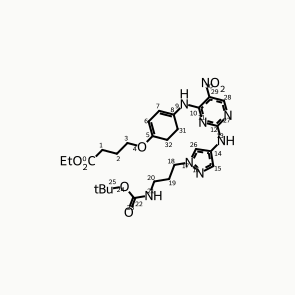 CCOC(=O)CCCOC1=CC=C(Nc2nc(Nc3cnn(CCCNC(=O)OC(C)(C)C)c3)ncc2[N+](=O)[O-])CC1